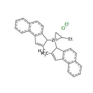 CC[CH]1[CH2][Zr+2]1([CH]1C(C)=Cc2c1ccc1ccccc21)[CH]1C(C)=Cc2c1ccc1ccccc21.[Cl-].[Cl-]